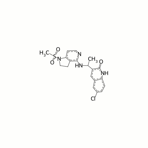 CC(Nc1nccc2c1CCN2S(C)(=O)=O)c1cc2cc(Cl)ccc2[nH]c1=O